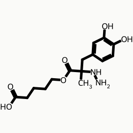 CC(Cc1ccc(O)c(O)c1)(NN)C(=O)OCCCCC(=O)O